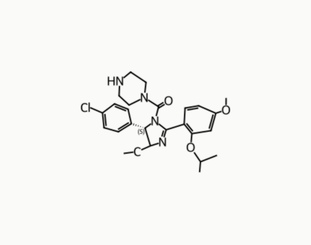 CCC1N=C(c2ccc(OC)cc2OC(C)C)N(C(=O)N2CCNCC2)[C@H]1c1ccc(Cl)cc1